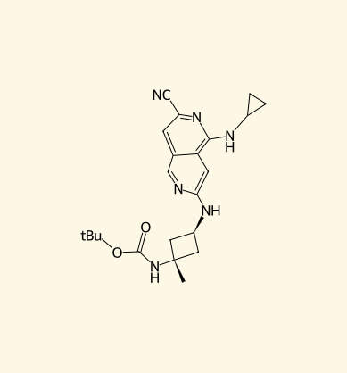 CC(C)(C)OC(=O)N[C@]1(C)C[C@@H](Nc2cc3c(NC4CC4)nc(C#N)cc3cn2)C1